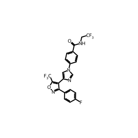 O=C(NCC(F)(F)F)c1ccc(-n2cnc(-c3c(-c4ccc(F)cc4)noc3C(F)(F)F)c2)cc1